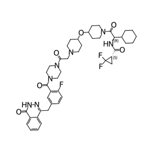 O=C(N[C@@H](C(=O)N1CCC(OC2CCN(CC(=O)N3CCN(C(=O)c4cc(Cc5n[nH]c(=O)c6ccccc56)ccc4F)CC3)CC2)CC1)C1CCCCC1)[C@@H]1CC1(F)F